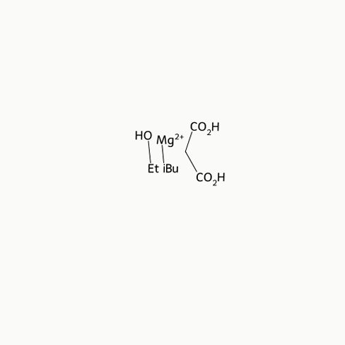 CCO.CC[CH](C)[Mg+2].O=C(O)CC(=O)O